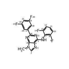 Cn1cnc2c(Nc3c(F)cccc3F)nc(-c3cc(F)cc(F)c3)nc21